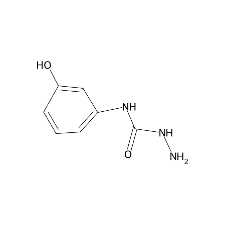 NNC(=O)Nc1cccc(O)c1